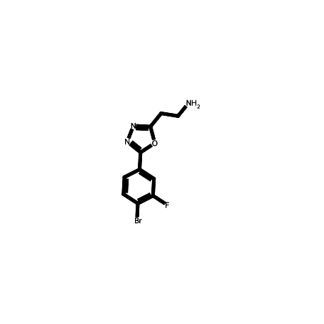 NCCc1nnc(-c2ccc(Br)c(F)c2)o1